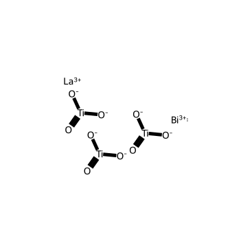 [Bi+3].[La+3].[O]=[Ti]([O-])[O-].[O]=[Ti]([O-])[O-].[O]=[Ti]([O-])[O-]